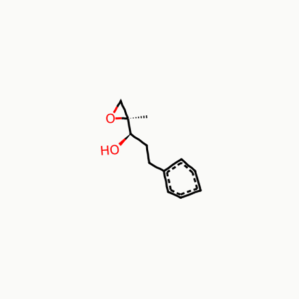 C[C@@]1([C@H](O)CCc2ccccc2)CO1